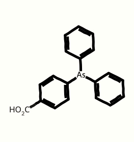 O=C(O)c1ccc([As](c2ccccc2)c2ccccc2)cc1